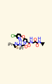 CC(C)c1csc(N[C@H](C(=O)N2C[C@H](Oc3ccc(Cl)cn3)C[C@H]2C(=O)NCC(=O)C(=O)NC2CC2)C(C)C)n1